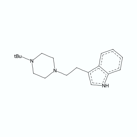 CC(C)(C)N1CCN(CCc2c[nH]c3ccccc23)CC1